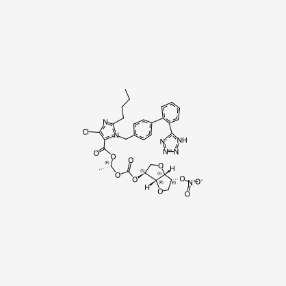 CCCCc1nc(Cl)c(C(=O)O[C@@H](C)OC(=O)O[C@H]2CO[C@H]3[C@@H]2OC[C@H]3O[N+](=O)[O-])n1Cc1ccc(-c2ccccc2-c2nnn[nH]2)cc1